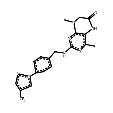 Cc1nc(NCc2ccc(-n3cc(C(F)(F)F)cn3)cc2)nc2c1NC(=O)CN2C